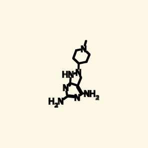 CN1CCC(N2Cc3c(N)nc(N)nc3N2)CC1